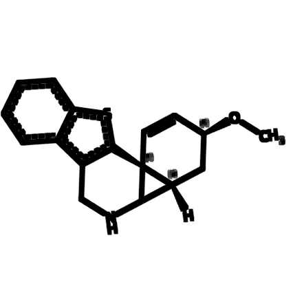 CO[C@@H]1C=C[C@@]23c4sc5ccccc5c4CNC2[C@H]3C1